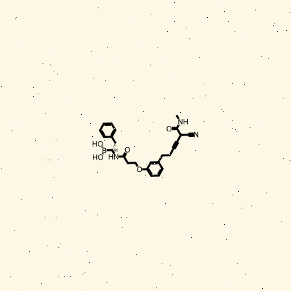 CNC(=O)C(C#N)C#CCCc1cccc(OCCC(=O)N[C@@H](Cc2ccccc2)B(O)O)c1